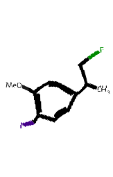 COc1cc([C](C)CF)ccc1I